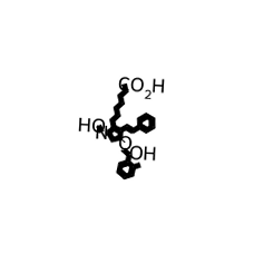 Cc1ccccc1C(O)CO[C@@H]1CC(=NO)C(CCCCCCC(=O)O)=C1C=Cc1ccccc1